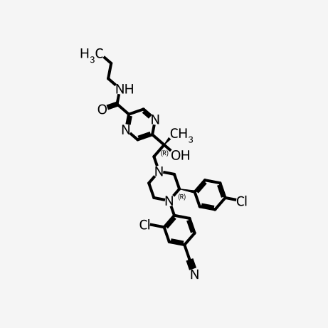 CCCNC(=O)c1cnc([C@](C)(O)CN2CCN(c3ccc(C#N)cc3Cl)[C@H](c3ccc(Cl)cc3)C2)cn1